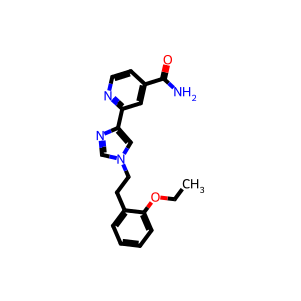 CCOc1ccccc1CCn1cnc(-c2cc(C(N)=O)ccn2)c1